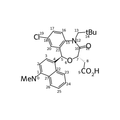 CNc1ccc([C@@H]2O[C@@H](CC(=O)O)C(=O)N(CC(C)(C)C)c3ccc(Cl)cc32)c2ccccc12